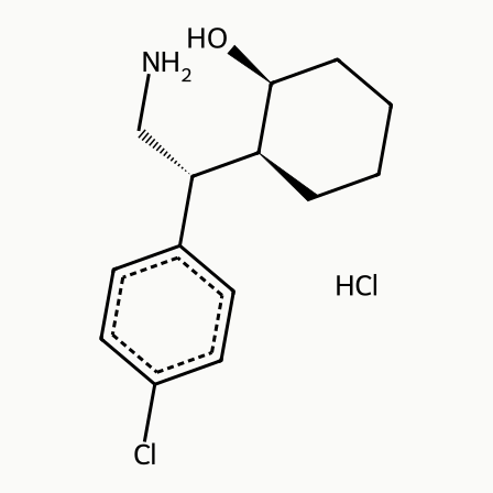 Cl.NC[C@@H](c1ccc(Cl)cc1)[C@@H]1CCCC[C@@H]1O